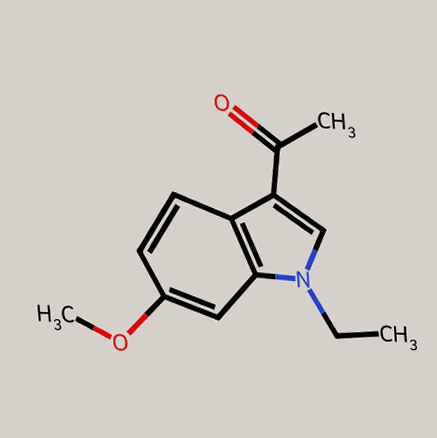 CCn1cc(C(C)=O)c2ccc(OC)cc21